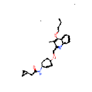 CCCCOc1c(C)c(CO[C@H]2CC[C@H](NC(=O)CC3CC3)CC2)nc2ccccc12